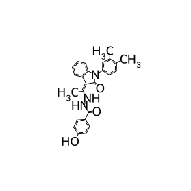 C/C(NNC(=O)c1ccc(O)cc1)=C1/C(=O)N(c2ccc(C)c(C)c2)c2ccccc21